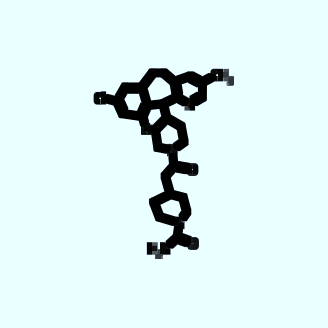 Cc1cnc2c(c1)CCc1cc(Cl)cc(Br)c1C2C1CCN(C(=O)CC2CCN(C(N)=O)CC2)CC1